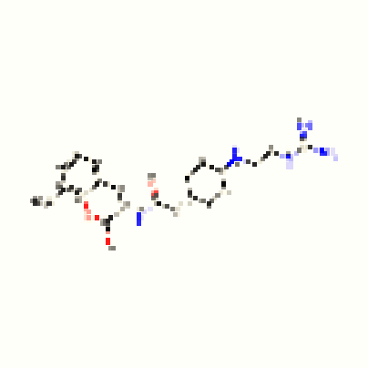 N=C(N)NCCN[C@H]1CC[C@H](CC(=O)N[C@H]2Cc3cccc(C(=O)O)c3OB2O)CC1